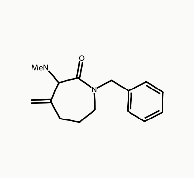 C=C1CCCN(Cc2ccccc2)C(=O)C1NC